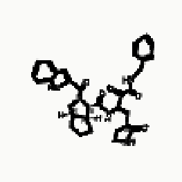 O=C(NCc1ccccc1)C(=O)C(C[C@@H]1CCNC1=O)NC(=O)[C@@H]1[C@H]2CCC[C@H]2CN1C(=O)c1cc2ccccc2[nH]1